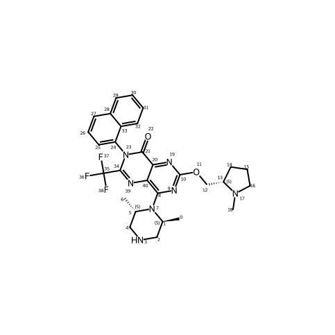 C[C@H]1CNC[C@H](C)N1c1nc(OC[C@@H]2CCCN2C)nc2c(=O)n(-c3cccc4ccccc34)c(C(F)(F)F)nc12